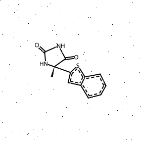 C[C@@]1(c2cc3ccccc3s2)NC(=O)NC1=O